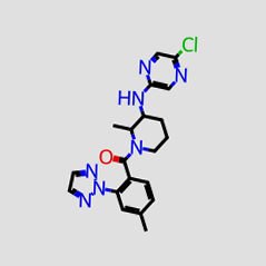 Cc1ccc(C(=O)N2CCCC(Nc3cnc(Cl)cn3)C2C)c(-n2nccn2)c1